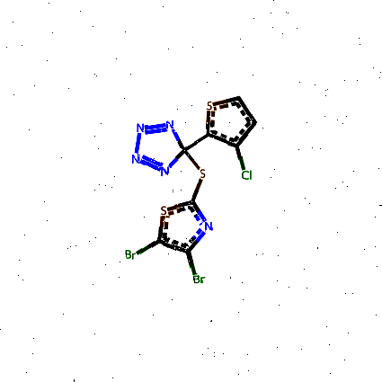 Clc1ccsc1C1(Sc2nc(Br)c(Br)s2)N=NN=N1